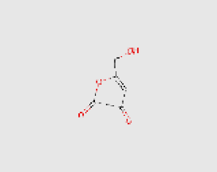 O=C1C=C(CO)OC1=O